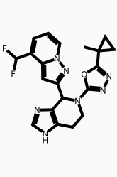 CC1(c2nnc(N3CCc4[nH]cnc4C3c3cc4c(C(F)F)cccn4n3)o2)CC1